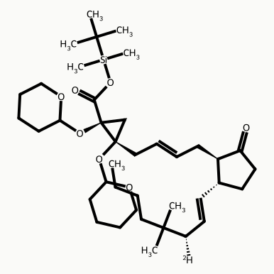 [2H][C@@H](C=C[C@H]1CCC(=O)[C@@H]1CC=CC[C@]1(OC2CCCCO2)C[C@@]1(OC1CCCCO1)C(=O)O[Si](C)(C)C(C)(C)C)C(C)(C)CCCC